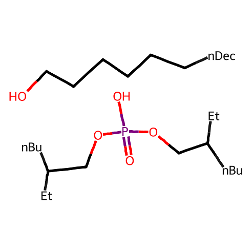 CCCCC(CC)COP(=O)(O)OCC(CC)CCCC.CCCCCCCCCCCCCCCCO